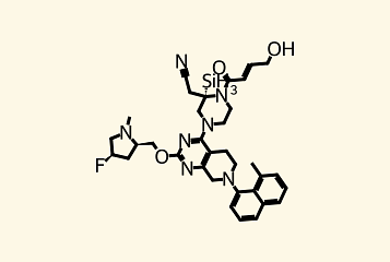 Cc1cccc2cccc(N3CCc4c(nc(OC[C@H]5C[C@@H](F)CN5C)nc4N4CCN(C(=O)/C=C/CO)[C@]([SiH3])(CC#N)C4)C3)c12